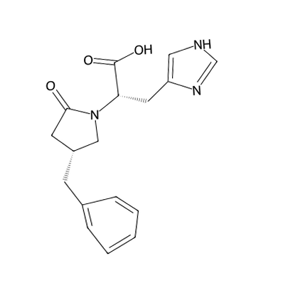 O=C(O)[C@H](Cc1c[nH]cn1)N1C[C@H](Cc2ccccc2)CC1=O